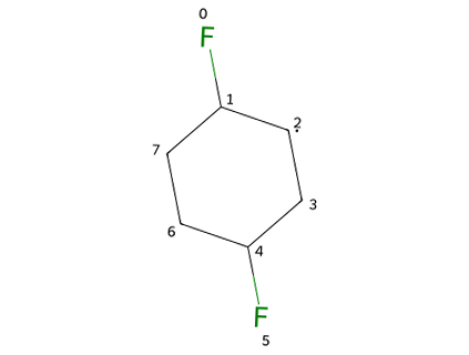 FC1[CH]CC(F)CC1